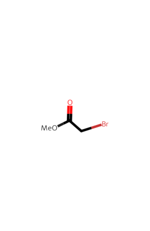 [CH2]OC(=O)CBr